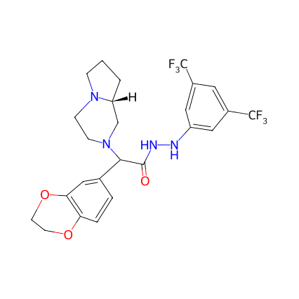 O=C(NNc1cc(C(F)(F)F)cc(C(F)(F)F)c1)C(c1ccc2c(c1)OCCO2)N1CCN2CCC[C@@H]2C1